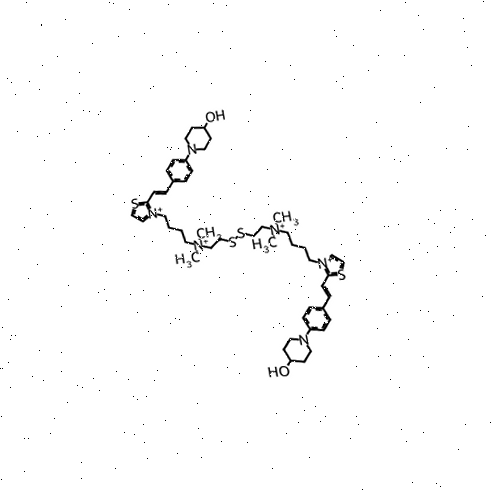 C[N+](C)(CCCC[n+]1ccsc1/C=C/c1ccc(N2CCC(O)CC2)cc1)CCSSCC[N+](C)(C)CCCC[n+]1ccsc1/C=C/c1ccc(N2CCC(O)CC2)cc1